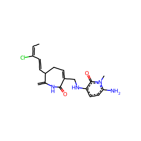 C=C1NC(=O)C(CNc2ccc(N)n(C)c2=O)=CCC1/C=C/C(Cl)=C\C